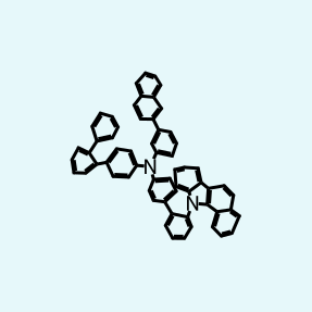 c1ccc(-c2ccccc2-c2ccc(N(c3ccc(-c4ccccc4-n4c5ccccc5c5ccc6ccccc6c54)cc3)c3cccc(-c4ccc5ccccc5c4)c3)cc2)cc1